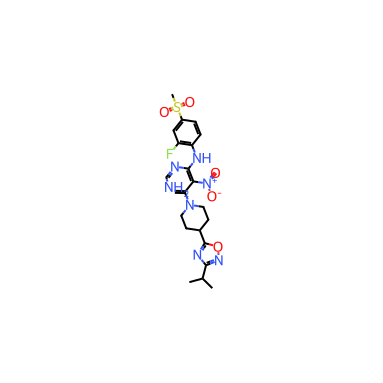 C=C(/C(=C(\N=C/N)Nc1ccc(S(C)(=O)=O)cc1F)[N+](=O)[O-])N1CCC(c2nc(C(C)C)no2)CC1